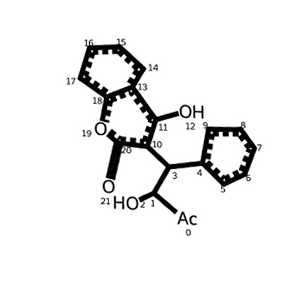 CC(=O)C(O)C(c1ccccc1)c1c(O)c2ccccc2oc1=O